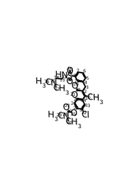 Cc1c(Cc2cccc(S(=O)(=O)NCCN(C)C)c2)c(=O)oc2cc(OC(=O)N(C)C)c(Cl)cc12